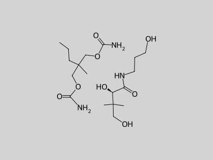 CC(C)(CO)[C@@H](O)C(=O)NCCCO.CCCC(C)(COC(N)=O)COC(N)=O